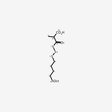 CCCCCCCCCCCCSSSC(=O)C(C)C(=O)O